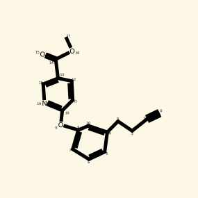 C#CCCc1cccc(Oc2ccc(C(=O)OC)cn2)c1